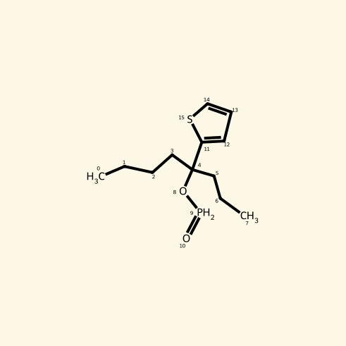 CCCCC(CCC)(O[PH2]=O)c1cccs1